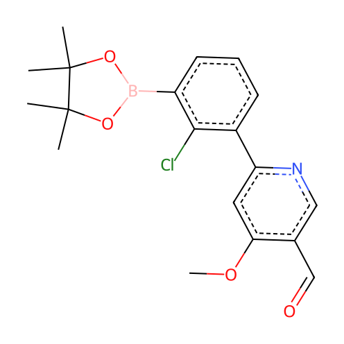 COc1cc(-c2cccc(B3OC(C)(C)C(C)(C)O3)c2Cl)ncc1C=O